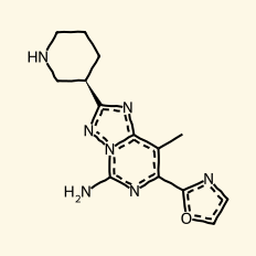 Cc1c(-c2ncco2)nc(N)n2nc([C@@H]3CCCNC3)nc12